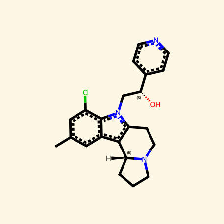 Cc1cc(Cl)c2c(c1)c1c(n2C[C@@H](O)c2ccncc2)CCN2CCC[C@H]12